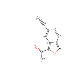 C#Cc1ccc2coc(C(=O)C=O)c2c1